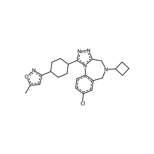 Cc1cc(C2CCC(c3nnc4n3-c3ccc(Cl)cc3CN(C3CCC3)C4)CC2)no1